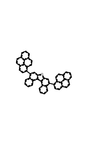 c1cc2ccc3ccc(-c4cc5oc6cc(-c7ccc8ccc9cccc%10ccc7c8c9%10)c7ccccc7c6c5c5ccccc45)c4ccc(c1)c2c34